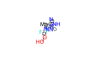 COc1cnccc1Nc1nc(-c2nn(Cc3c(F)cc(OCCO)cc3F)c3ccccc23)nc2c1CCC2